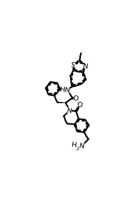 Cc1nc2ccc(NC(=O)[C@H](Cc3ccccc3)N3CCc4cc(CN)ccc4C3=O)cc2s1